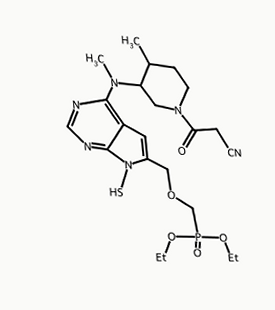 CCOP(=O)(COCc1cc2c(N(C)C3CN(C(=O)CC#N)CCC3C)ncnc2n1S)OCC